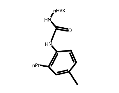 CCCCCCNC(=O)Nc1ccc(C)cc1CCC